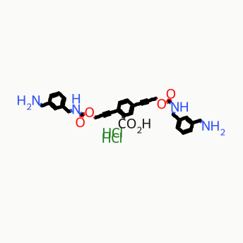 Cl.Cl.NCc1cccc(CNC(=O)OCC#Cc2ccc(C#CCOC(=O)NCc3cccc(CN)c3)c(C(=O)O)c2)c1